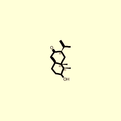 C=C(C)[C@H]1C[C@@]2(C)C(=CC1=O)CCC(O)[C@@H]2C